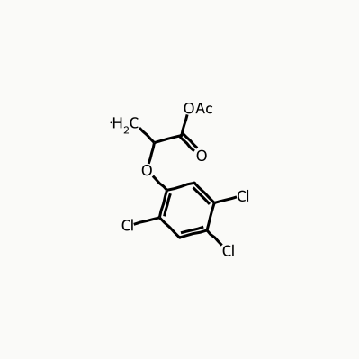 [CH2]C(Oc1cc(Cl)c(Cl)cc1Cl)C(=O)OC(C)=O